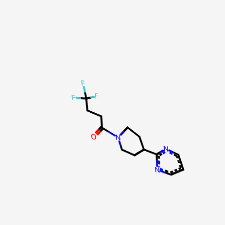 O=C(CCC(F)(F)F)N1CCC(c2ncccn2)CC1